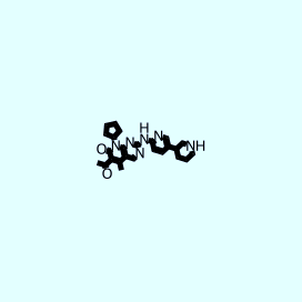 CC(=O)c1c(C)c2cnc(Nc3ccc(C4CCCNC4)cn3)nc2n(C2CCCC2)c1=O